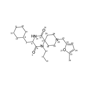 CCCN1C(=O)C(CC2CCCCC2)NC(=O)C12CCN(Cc1ccc(C)o1)CC2